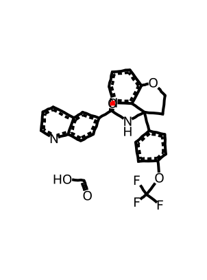 O=C(NC1(c2ccc(OC(F)(F)F)cc2)CCOc2cccnc21)c1ccc2ncccc2c1.O=CO